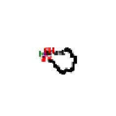 CCCCC/C=C\C/C=C\C/C=C\C/C=C\CCCCOP(=O)(O)F